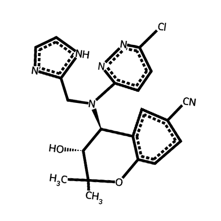 CC1(C)Oc2ccc(C#N)cc2[C@H](N(Cc2ncc[nH]2)c2ccc(Cl)nn2)[C@H]1O